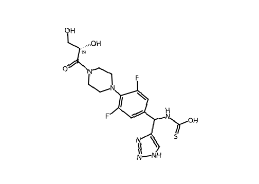 O=C([C@@H](O)CO)N1CCN(c2c(F)cc(C(NC(O)=S)c3c[nH]nn3)cc2F)CC1